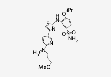 COCCCN(C)c1ccc(-c2csc(Nc3cc(S(N)(=O)=O)ccc3OC(C)C)n2)cn1